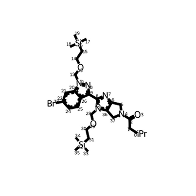 CC(C)CC(=O)N1Cc2nc(-c3nn(COCC[Si](C)(C)C)c4cc(Br)ccc34)n(COCC[Si](C)(C)C)c2C1